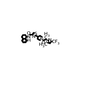 Cc1cc(C(F)(F)F)nn1C(C)C(=O)N1CCC(c2nc(C(=O)N[C@@H]3CCCc4ccccc43)cs2)CC1